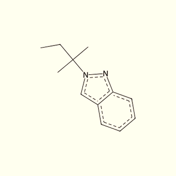 CCC(C)(C)n1cc2ccccc2n1